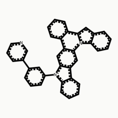 c1cncc(-c2cccc(-n3c4ccccc4c4cc5c(cc43)c3ccccc3c3cc4ccccc4n35)c2)c1